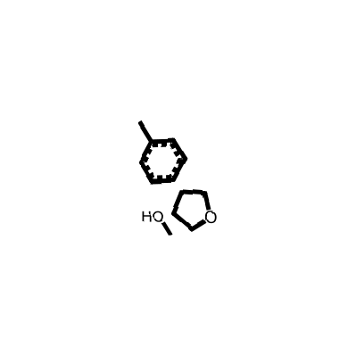 C1CCOC1.CO.Cc1ccccc1